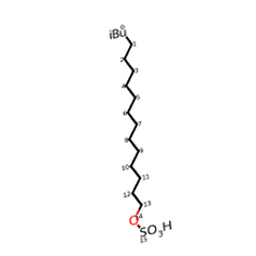 CCC(C)CCCCCCCCCCCCCOS(=O)(=O)O